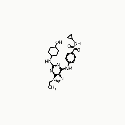 CCn1cnc2c(Nc3ccc(S(=O)(=O)NC4CC4)cc3)nc(NC3CCC(O)CC3)nc21